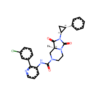 O=C(Nc1cccnc1-c1cccc(Cl)c1)N1CCN2C(=O)N([C@H]3C[C@@H]3c3ccccc3)C(=O)[C@@H]2C1